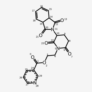 O=C(OCCN1C(=O)CCC(N2C(=O)C3C=CC=CC3C2=O)C1=O)c1cccnc1